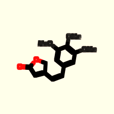 COc1cc(/C=C\C2=CC(=O)OC2)cc(OC)c1OC